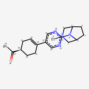 CCN1CC2CCC(C1)N2c1ncc(C2=CC[C@H](C(=O)C(C)C)CC2)cn1